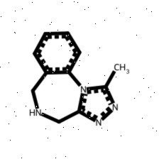 Cc1nnc2n1-c1ccccc1CNC2